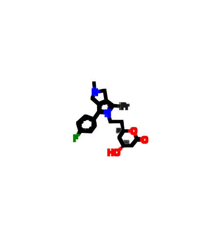 CC(C)c1c2c(c(-c3ccc(F)cc3)n1CC[C@@H]1C[C@@H](O)CC(=O)O1)CN(C)C2